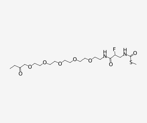 CCC(=O)COCCOCCOCCOCCOCCNC(=O)C(F)CNC(=O)SC